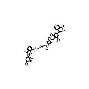 COc1cc(-c2cn(C)c(=O)c3cnccc23)cc(OC)c1CN1CCC12CCN(C(=O)CCOCCOc1cccc3c1C(=O)N(C1CCC(=O)NC1=O)C3=O)C2